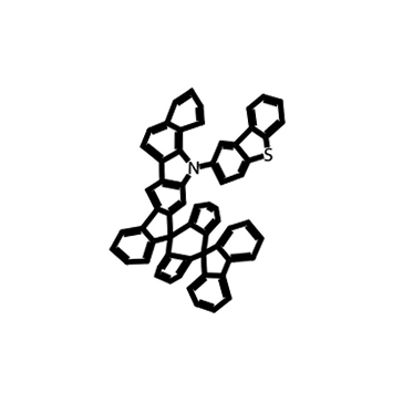 c1ccc2c(c1)-c1ccccc1C21c2ccccc2C2(c3ccccc3-c3cc4c5ccc6ccccc6c5n(-c5ccc6sc7ccccc7c6c5)c4cc32)c2ccccc21